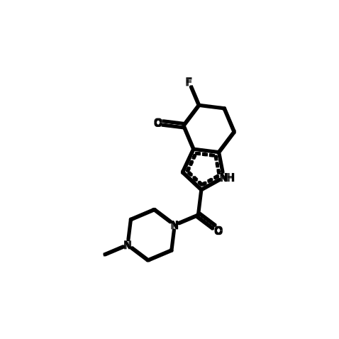 CN1CCN(C(=O)c2cc3c([nH]2)CCC(F)C3=O)CC1